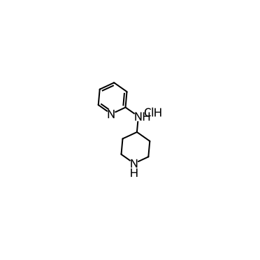 Cl.c1ccc(NC2CCNCC2)nc1